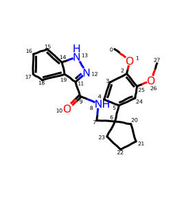 COc1ccc(C2(CNC(=O)c3n[nH]c4ccccc34)CCCC2)cc1OC